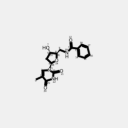 Cc1cn([C@H]2C[C@H](O)[C@@H](CNC(=O)c3ccccc3)O2)c(=O)[nH]c1=O